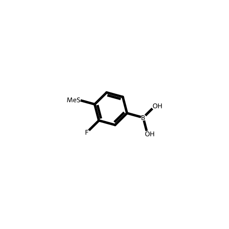 CSc1ccc(B(O)O)cc1F